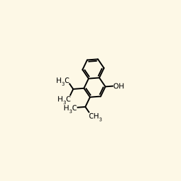 CC(C)c1cc(O)c2ccccc2c1C(C)C